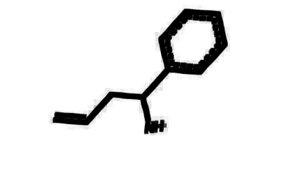 C=CCC([NH])c1ccccc1